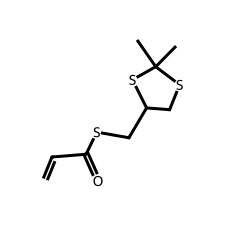 C=CC(=O)SCC1CSC(C)(C)S1